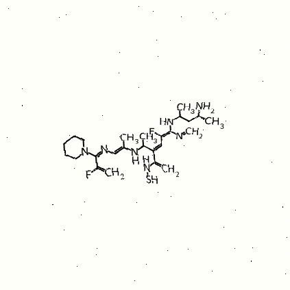 C=N/C(NC(C)C[C@H](C)N)=C(F)\C=C(\C(=C)NS)C(C)N/C(C)=C/N=C(\C(=C)F)N1CCCCC1